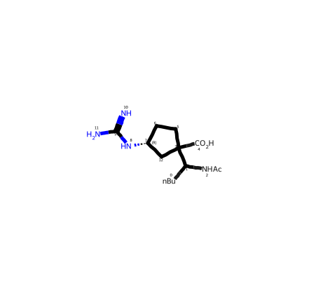 CCCCC(NC(C)=O)C1(C(=O)O)CC[C@@H](NC(=N)N)C1